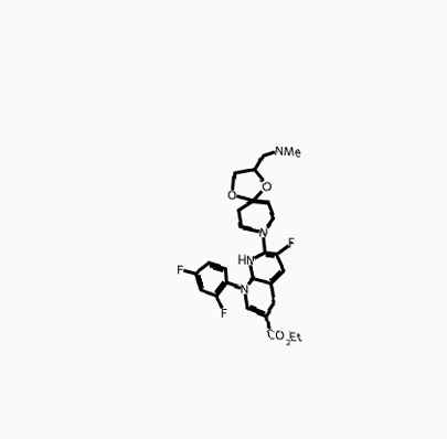 CCOC(=O)C1=CN(c2ccc(F)cc2F)C2NC(N3CCC4(CC3)OCC(CNC)O4)=C(F)C=C2C1